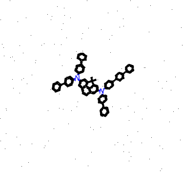 CC1(C)c2cc(N(c3ccc(-c4ccccc4)cc3)c3ccc(-c4ccccc4)cc3)cc3ccc4cc(N(c5ccc(-c6ccccc6)cc5)c5ccc(-c6ccc(-c7ccccc7)cc6)cc5)cc1c4c23